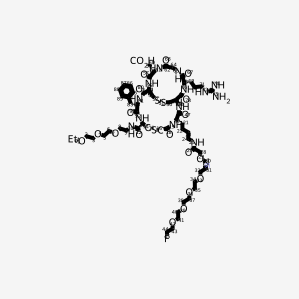 CCOCCOCCOCCNC(=O)[C@@H]1CSCC(=O)N[C@@H](CCCCNC(=O)CO/N=C\COCCOCCOCCOCCF)C(=O)N[C@H]2CSSC[C@H](NC(=O)[C@H](CC(=O)O)NC(=O)CNC(=O)[C@H](CCCNC(=N)N)NC2=O)C(=O)N[C@@H](Cc2ccccc2)C(=O)N1